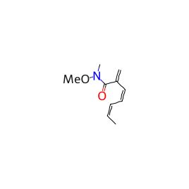 C=C(/C=C\C=C/C)C(=O)N(C)OC